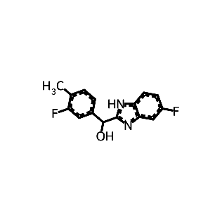 Cc1ccc(C(O)c2nc3cc(F)ccc3[nH]2)cc1F